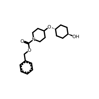 O=C(OCc1ccccc1)N1CCC(O[C@H]2CC[C@H](O)CC2)CC1